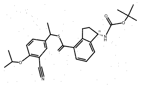 C=C(SC(C)c1ccc(OC(C)C)c(C#N)c1)c1cccc2c1CC[C@@H]2NC(=O)OC(C)(C)C